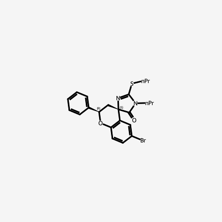 CCCSC1=N[C@]2(C[C@H](c3ccccc3)Oc3ccc(Br)cc32)C(=O)N1CCC